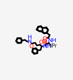 CC(C)C(NC(=O)Cc1ccc2ccccc2c1)C(=O)NC(Cc1ccccc1)C(O)CCC(=O)NCCc1ccccc1